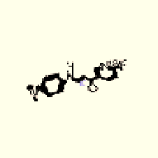 CN(C)c1ccc(N/C=C/C(=O)c2ccc([18F])nc2)cc1